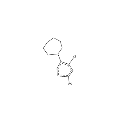 CC(=O)c1ccc(C2CCCCCC2)c(Cl)c1